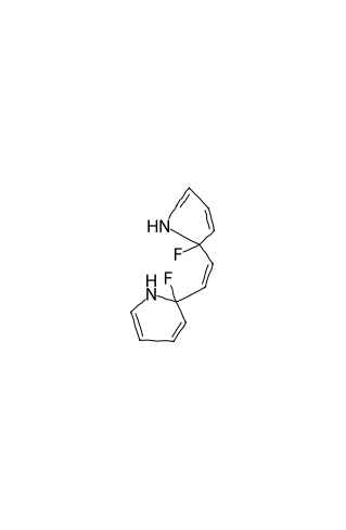 FC1(/C=C\C2(F)C=CC=CN2)C=CC=CN1